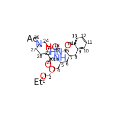 CCOCOC[C@H](C[C@H](Cc1ccccc1)C(=O)NO)NC(=O)C1CCN(C(C)=O)CC1